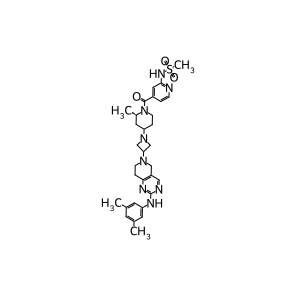 Cc1cc(C)cc(Nc2ncc3c(n2)CCN(C2CN(C4CCN(C(=O)c5ccnc(NS(C)(=O)=O)c5)[C@H](C)C4)C2)C3)c1